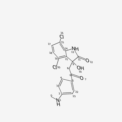 CNc1ccc(C(=O)CC2(O)C(=O)Nc3c(Cl)ccc(Cl)c32)cc1